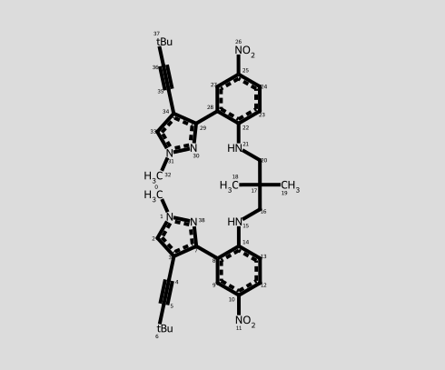 Cn1cc(C#CC(C)(C)C)c(-c2cc([N+](=O)[O-])ccc2NCC(C)(C)CNc2ccc([N+](=O)[O-])cc2-c2nn(C)cc2C#CC(C)(C)C)n1